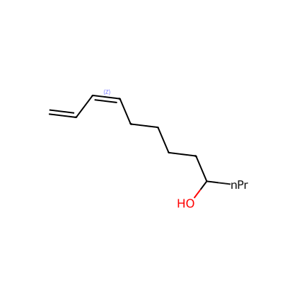 C=C/C=C\CCCCC(O)CCC